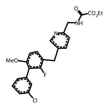 CCOC(=O)C(=O)NCc1ccc(Cc2ccc(OC)c(-c3cccc(Cl)c3)c2F)cn1